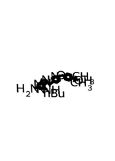 CCCCNc1nc(N)nc2cnn(Cc3ccc(Oc4ccc(C(C)(C)O)cc4)nc3)c12